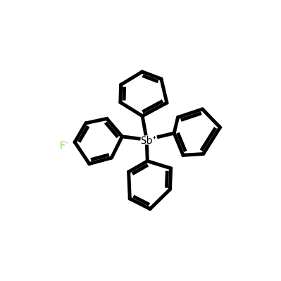 [F-].c1cc[c]([Sb+]([c]2ccccc2)([c]2ccccc2)[c]2ccccc2)cc1